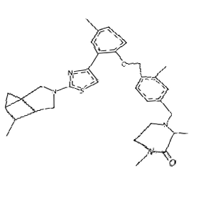 Cc1ccc(OCc2ccc(CN3CCN(C)C(=O)C3C)cc2C)c(-c2csc(N3CC4C(C)C5CC45C3)n2)c1